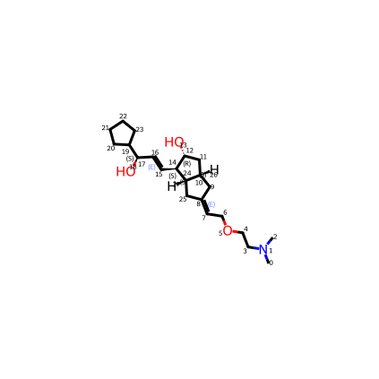 CN(C)CCOC/C=C1\C[C@H]2C[C@@H](O)[C@H](/C=C/[C@@H](O)C3CCCC3)[C@H]2C1